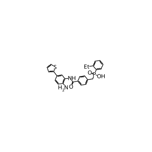 CCc1ccccc1P(=O)(O)Cc1ccc(C(=O)Nc2cc(-c3cccs3)ccc2N)cc1